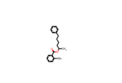 CCCCc1ccccc1C(=O)OC(C)CCCCc1ccccc1